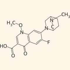 COn1cc(C(=O)O)c(=O)c2cc(F)c(N3CC4CCC3CN4C)cc21